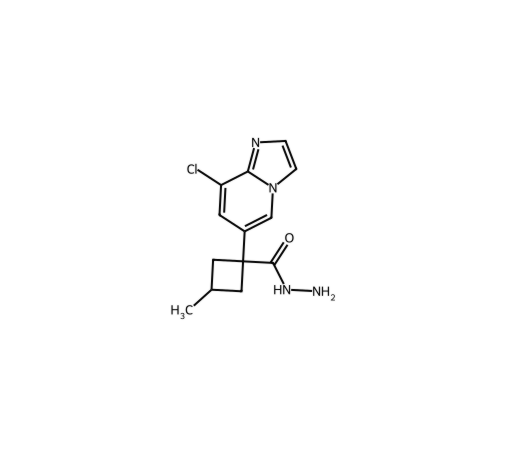 CC1CC(C(=O)NN)(c2cc(Cl)c3nccn3c2)C1